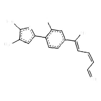 Bc1cc(-c2ccc(/C(C)=C/C=C\C=C)cc2F)sc1B